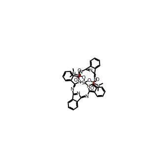 CN(C)S(=O)(=O)O[Si]1(OS(=O)(=O)N(C)C)n2c3c4ccccc4c2/N=C2N=C(/N=c4/c5ccccc5/c(n41)=N/C1=NC(=N\3)/c3ccccc31)c1ccccc1\2